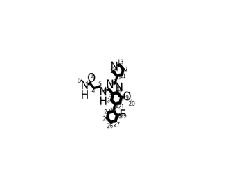 CNC(=O)CCNc1nc(-c2cccnc2)nc2c(OC)cc(-c3ccccc3F)cc12